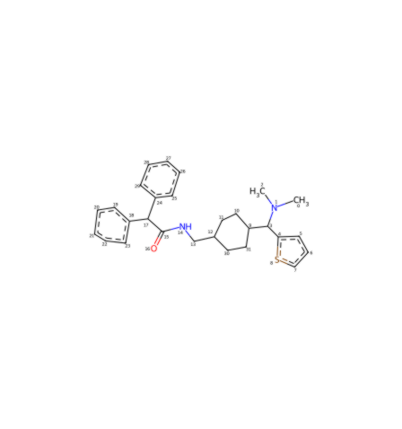 CN(C)C(c1cccs1)C1CCC(CNC(=O)C(c2ccccc2)c2ccccc2)CC1